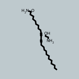 CCCCCCCCCCCCC#CC#CCCCCCCCCC(N)=O.NCCO